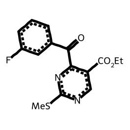 CCOC(=O)c1cnc(SC)nc1C(=O)c1cccc(F)c1